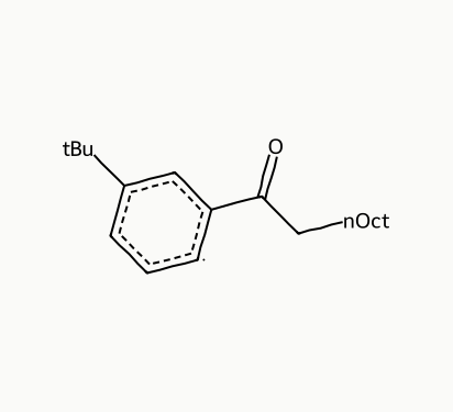 CCCCCCCCCC(=O)c1[c]ccc(C(C)(C)C)c1